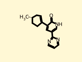 C[C@@H]1CC=C(c2cc(-c3ncccn3)c[nH]c2=O)CC1